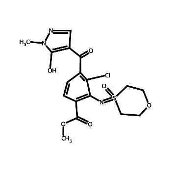 COC(=O)c1ccc(C(=O)c2cnn(C)c2O)c(Cl)c1N=S1(=O)CCOCC1